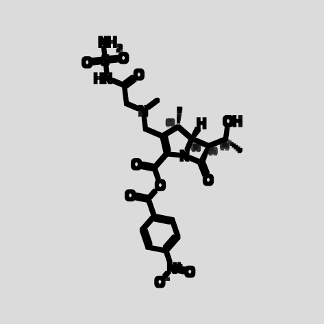 C[C@@H](O)[C@H]1C(=O)N2C(C(=O)OC(=O)c3ccc([N+](=O)[O-])cc3)=C(CN(C)CC(=O)NS(N)(=O)=O)[C@H](C)[C@H]12